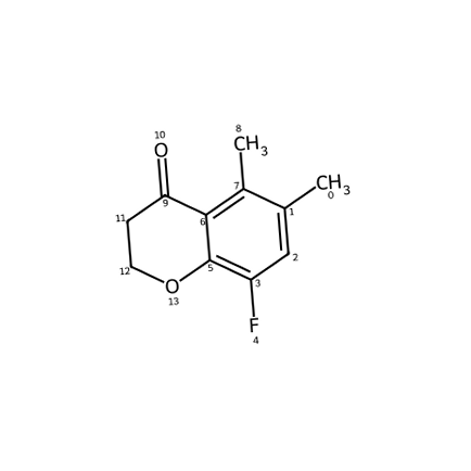 Cc1cc(F)c2c(c1C)C(=O)CCO2